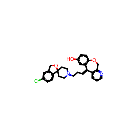 Oc1ccc2c(c1)C(=CCCN1CCC3(CC1)OCc1cc(Cl)ccc13)c1cccnc1CO2